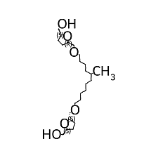 CC(CCCCCCOC[C@@H]1CC[C@@H](CO)O1)CCCCOC[C@H]1CC[C@@H](CO)O1